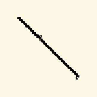 CCCCCCCCC=CCCCCCCCCCC(=O)OCCCCCCCCCCCCCCCCCCCCCCCCCCCCCCCCCC(C)CC